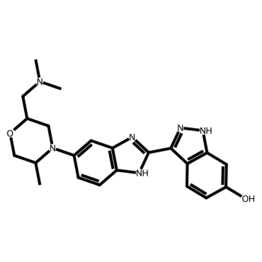 CC1COC(CN(C)C)CN1c1ccc2[nH]c(-c3n[nH]c4cc(O)ccc34)nc2c1